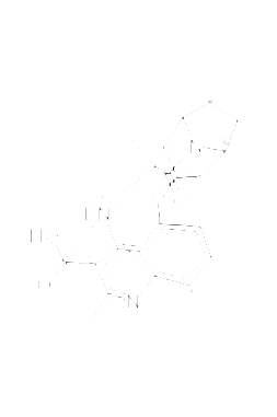 Cc1nc2cccc(OC3CC4CCC(C3)N4C(=O)C(C)C)c2c(N)c1C(=O)O